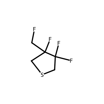 FCC1(F)CSCC1(F)F